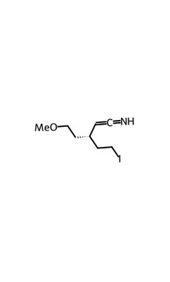 COCC[C@H](C=C=N)CCI